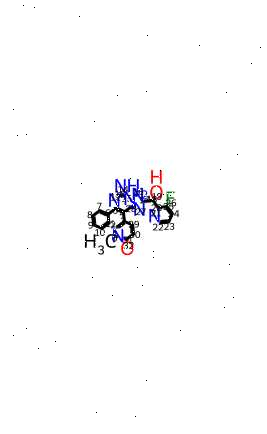 Cn1cc(-c2c(-c3ccccc3)nc(N)n3nc([C@@H](O)c4ncccc4F)nc23)ccc1=O